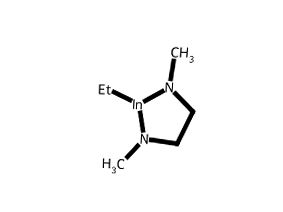 C[CH2][In]1[N](C)CC[N]1C